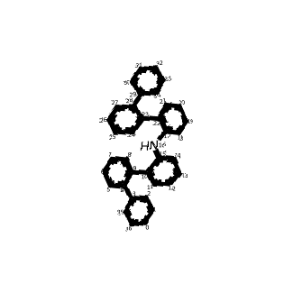 c1ccc(-c2ccccc2-c2ccccc2Nc2ccccc2-c2ccccc2-c2ccccc2)cc1